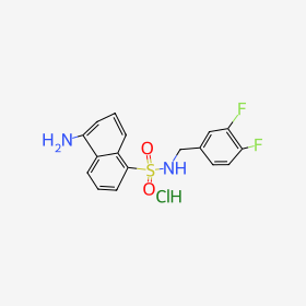 Cl.Nc1cccc2c(S(=O)(=O)NCc3ccc(F)c(F)c3)cccc12